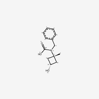 C[C@]1(N(Cc2ccccc2)C(=O)O)C[C@@H](O)C1